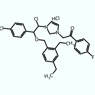 CCc1ccc(COC(c2ccc(Cl)cc2)C(Cl)N2C=CN(CC(=O)c3ccc(F)cc3)C2)c(CC)c1.Cl